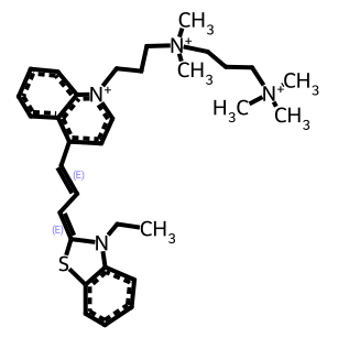 CCN1/C(=C\C=C\c2cc[n+](CCC[N+](C)(C)CCC[N+](C)(C)C)c3ccccc23)Sc2ccccc21